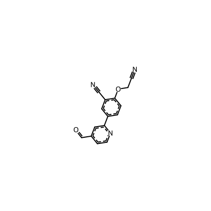 N#CCOc1ccc(-c2cc(C=O)ccn2)cc1C#N